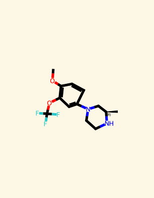 COc1ccc(N2CCN[C@H](C)C2)cc1OC(F)(F)F